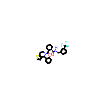 O=C(NCc1cccc(C(F)(F)F)c1)[C@H]1CCCCC1C(=O)N1CCc2sccc2C1c1ccccc1